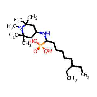 CCC(CC)CCCCCC(NC1CC(C)(C)N(C)C(C)(C)C1)P(=O)(O)O